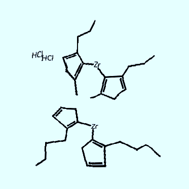 CCCC1=CCC(C)=[C]1[Zr][C]1=C(C)CC=C1CCC.CCCCC1=[C]([Zr][C]2=C(CCCC)C=CC2)CC=C1.Cl.Cl